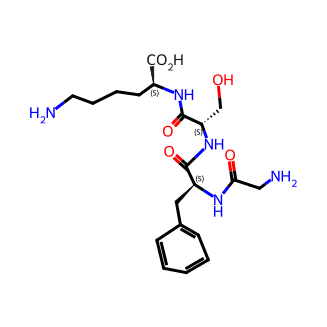 NCCCC[C@H](NC(=O)[C@H](CO)NC(=O)[C@H](Cc1ccccc1)NC(=O)CN)C(=O)O